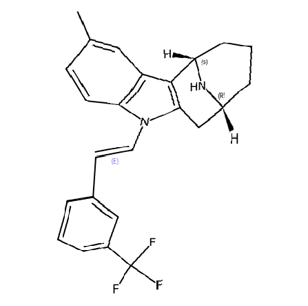 Cc1ccc2c(c1)c1c(n2/C=C/c2cccc(C(F)(F)F)c2)C[C@H]2CCC[C@@H]1N2